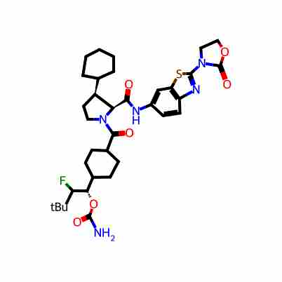 CC(C)(C)C(F)[C@@H](OC(N)=O)C1CCC(C(=O)N2CC[C@@H](C3CCCCC3)[C@H]2C(=O)Nc2ccc3nc(N4CCOC4=O)sc3c2)CC1